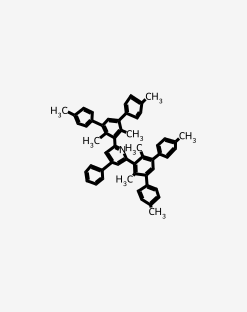 Cc1ccc(-c2cc(-c3ccc(C)cc3)c(C)c(-c3cc(-c4ccccc4)cc(-c4c(C)c(-c5ccc(C)cc5)cc(-c5ccc(C)cc5)c4C)n3)c2C)cc1